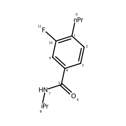 CCCc1ccc(C(=O)NC(C)C)cc1F